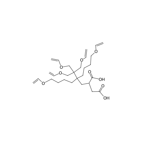 C=COCCCCC(CCCCOC=C)(CC(CC(=O)O)C(=O)O)C(COC=C)(COC=C)COC=C